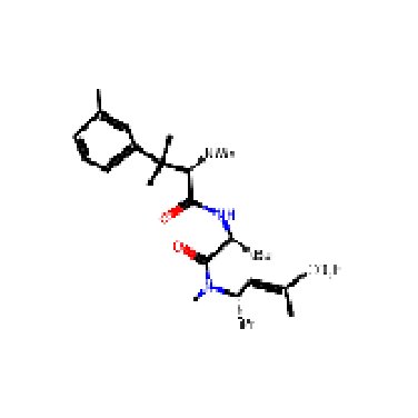 CN[C@@H](C(=O)N[C@H](C(=O)N(C)[C@H](/C=C(\C)C(=O)O)C(C)C)C(C)(C)C)C(C)(C)c1cccc(C)c1